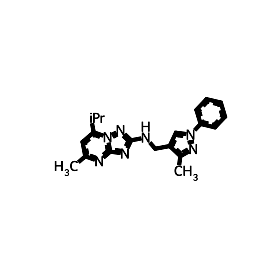 Cc1cc(C(C)C)n2nc(NCc3cn(-c4ccccc4)nc3C)nc2n1